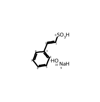 O=S(=O)(O)C=Cc1ccccc1.[NaH].[OH]